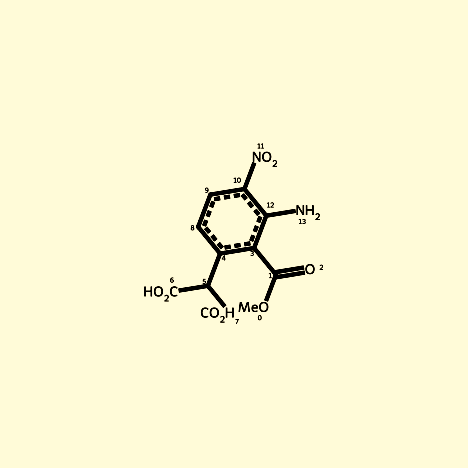 COC(=O)c1c(C(C(=O)O)C(=O)O)ccc([N+](=O)[O-])c1N